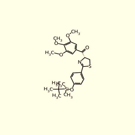 COc1cc(C(=O)[C@@H]2CSC(c3ccc(O[Si](C)(C)C(C)(C)C)cc3)=N2)cc(OC)c1OC